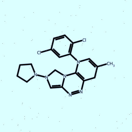 CC1=CN(c2cc(Cl)ccc2Cl)C2=C(C1)N=NC1=CN(N3CCCC3)CN12